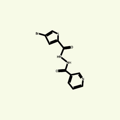 O=C(NNC(=O)c1cc(Br)cs1)c1cccnc1